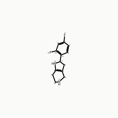 Fc1ccc(C2CC3=C(CCNC3)N2)c(F)c1